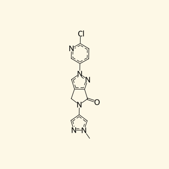 Cn1cc(N2Cc3cn(-c4ccc(Cl)nc4)nc3C2=O)cn1